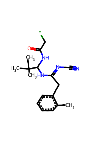 Cc1ccccc1C/C(=N\C#N)NC(NC(=O)CF)C(C)(C)C